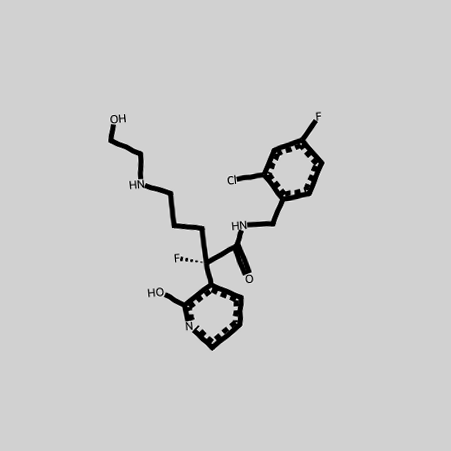 O=C(NCc1ccc(F)cc1Cl)[C@](F)(CCCNCCO)c1cccnc1O